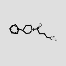 O=C(CCCC(F)(F)F)N1CCC(c2ccccc2)CC1